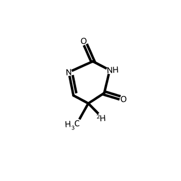 [2H]C1(C)C=NC(=O)NC1=O